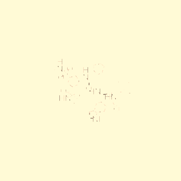 CC(C)(C)NS(=O)(=O)c1cc(NC(=O)C(CNC(=O)c2cc3cc[nH]c3cc2C(=O)NCC23CC4CC(CC(C4)C2)C3)c2ccccc2)cc(S(=O)(=O)NC(C)(C)C)c1